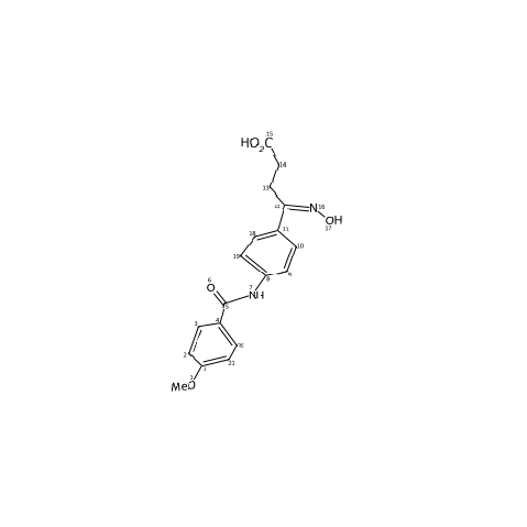 COc1ccc(C(=O)Nc2ccc(/C(CCC(=O)O)=N\O)cc2)cc1